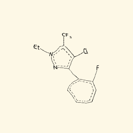 CCn1nc(-c2ccccc2F)c(Cl)c1C(F)(F)F